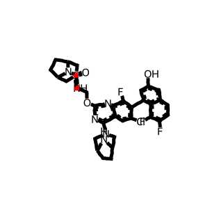 N=S1(=O)CC2CCC(C1)N2CCCOc1nc(N2CC3CCC(C2)N3)c2cc(Cl)c(-c3cc(O)cc4ccc(F)c(F)c34)c(F)c2n1